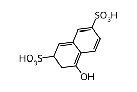 O=S(=O)(O)c1ccc2c(c1)=CC(S(=O)(=O)O)CC=2O